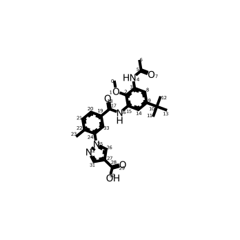 COc1c(NC(C)=O)cc(C(C)(C)C)cc1NC(=O)c1ccc(C)c(-n2cc(C(=O)O)cn2)c1